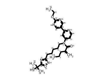 C=C(CCP)C(=O)N(CCCCCc1noc(C(C)(C)S)n1)c1ccnc(-c2cnc(OCC)nc2)c1